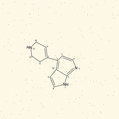 C1=C(c2ccnc3[nH]ccc23)CCNC1